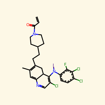 C=CC(=O)N1CCC(CCC2=C(C)C=C3N=CC(Cl)=C(N(I)c4ccc(Cl)c(Cl)c4F)C3C2)CC1